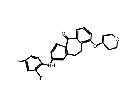 O=C1c2ccc(Nc3ccc(F)cc3F)cc2CCc2c(OC3CCOCC3)cccc21